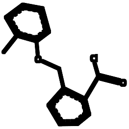 Cc1ccccc1OCc1ccccc1C(=O)Cl